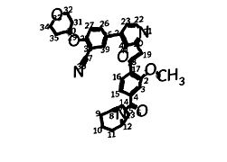 COc1cc(C(=O)N2C3CCCC2CC3)ccc1-c1cc2nccc(-c3ccc(OC4CCOCC4)c(C#N)c3)c2o1